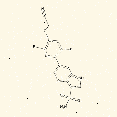 N#CCOc1cc(F)c(-c2ccc3c(S(N)(=O)=O)c[nH]c3c2)cc1F